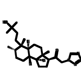 C[C@H]1CC[C@@H]2[C@H](CC[C@]3(C)[C@@H](C(=O)Cn4cnnn4)CC[C@@H]23)[C@@]1(C)CCC(C)(C)O